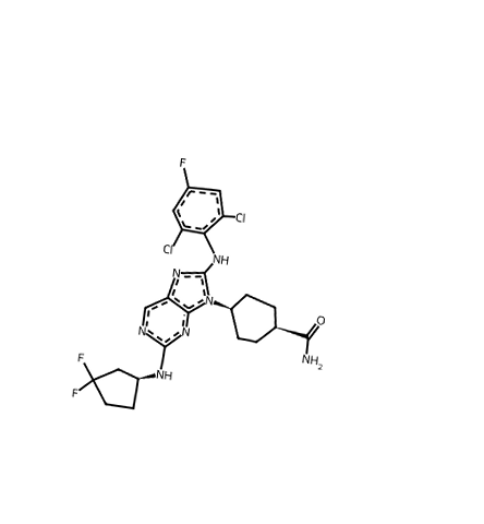 NC(=O)[C@H]1CC[C@@H](n2c(Nc3c(Cl)cc(F)cc3Cl)nc3cnc(N[C@H]4CCC(F)(F)C4)nc32)CC1